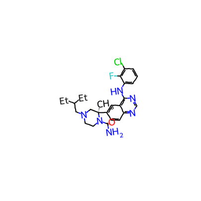 CCC(CC)CN1CCN(C(N)=O)[C@](C)(c2ccc3ncnc(Nc4cccc(Cl)c4F)c3c2)C1